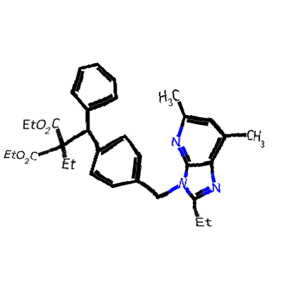 CCOC(=O)C(CC)(C(=O)OCC)C(c1ccccc1)c1ccc(Cn2c(CC)nc3c(C)cc(C)nc32)cc1